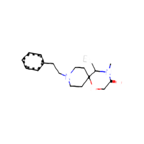 CCC1N(C)C(=O)COC12CCN(CCc1ccccc1)CC2